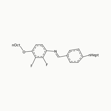 CCCCCCCCOc1ccc(N=Cc2ccc(CCCCCCC)cc2)c(F)c1F